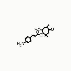 CC1=CC(O)C(OC(=O)C=Cc2ccc(N)cc2)C(C)(C)CC1=O